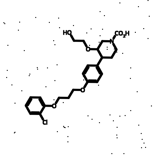 O=C(O)N1CCC(c2ccc(OCCCOc3ccccc3Cl)cc2)C(OCCO)C1